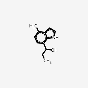 CCC(O)c1ccc(C)c2cc[nH]c12